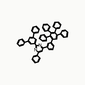 c1ccc(-c2cc(-c3ccccc3)cc(-c3nc(-c4ccccc4)cc(-c4cccc(-c5cc(-c6ccccc6)c(-c6ccccc6)c(-c6ccccc6)c5-c5ccccc5)c4)n3)c2)cc1